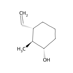 C=C[C@@H]1CCC[C@H](O)[C@H]1C